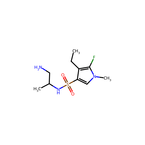 CCc1c(S(=O)(=O)NC(C)CN)cn(C)c1F